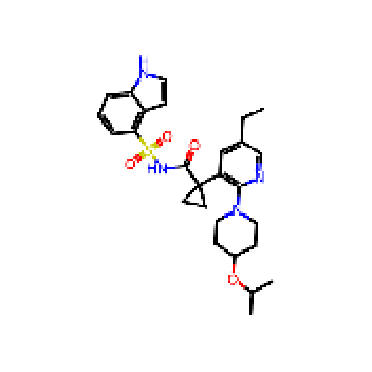 CCc1cnc(N2CCC(OC(C)C)CC2)c(C2(C(=O)NS(=O)(=O)c3cccc4[nH]ccc34)CC2)c1